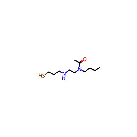 CCCCN(CCNCCCS)C(C)=O